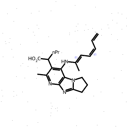 C=C/C=C\C=C(/C)Nc1c(C(CCC)C(=O)O)c(C)nc2nc3n(c12)CCC3